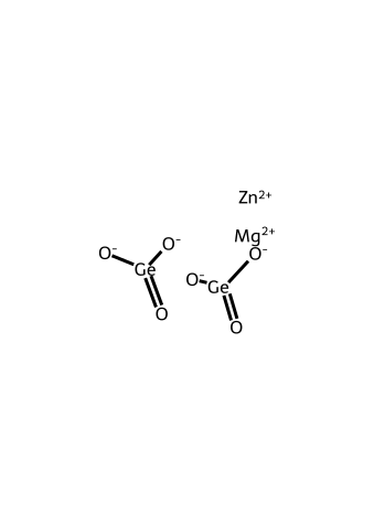 [Mg+2].[O]=[Ge]([O-])[O-].[O]=[Ge]([O-])[O-].[Zn+2]